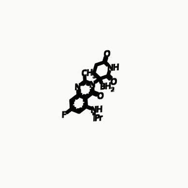 BC1(n2c(C)nc3cc(F)cc(NC(C)C)c3c2=O)CCC(=O)NC1=O